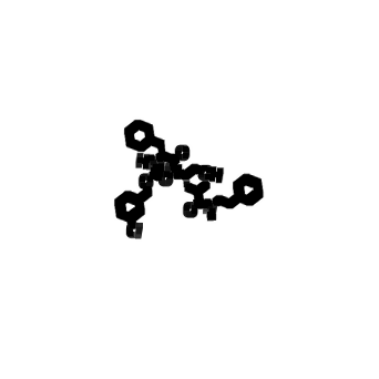 CC(C[C@@H](CO)NC(=O)[C@H](CC1CCCCC1)NC(=O)OCc1cccc(Cl)c1)C(=O)N(C)CCc1ccccc1